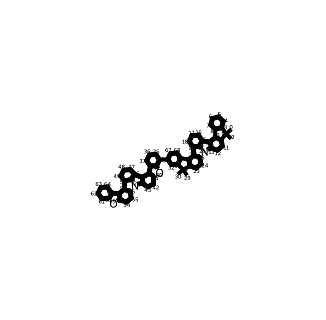 CC1(C)c2ccccc2-c2c1ccc1c2c2cccc3c4c5c(ccc4n1c23)C(C)(C)c1cc(-c2cccc3c2oc2ccc4c(c6cccc7c8c9c(ccc8n4c76)oc4ccccc49)c23)ccc1-5